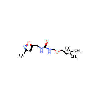 Cc1cc(CNC(=O)NCOCC[Si](C)(C)C)on1